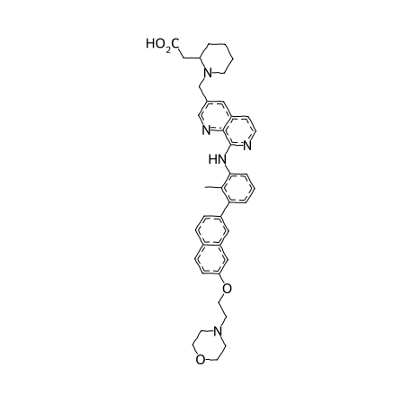 Cc1c(Nc2nccc3cc(CN4CCCCC4CC(=O)O)cnc23)cccc1-c1ccc2ccc(OCCN3CCOCC3)cc2c1